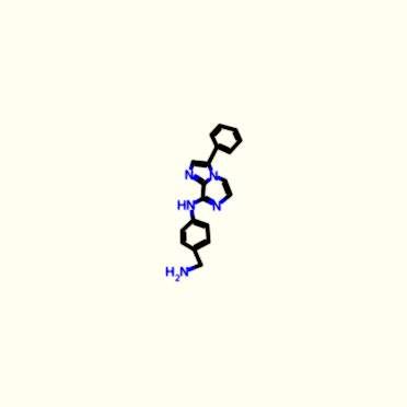 NCc1ccc(Nc2nccn3c(-c4ccccc4)cnc23)cc1